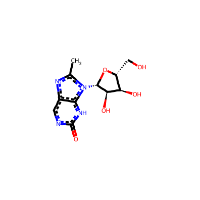 Cc1nc2cnc(=O)[nH]c2n1[C@@H]1O[C@H](CO)[C@@H](O)[C@H]1O